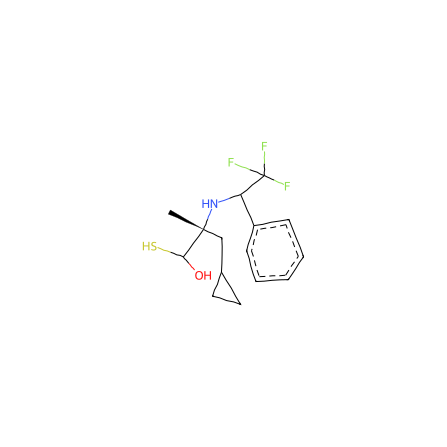 C[C@](CC1CC1)(NC(c1ccccc1)C(F)(F)F)C(O)S